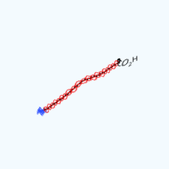 [N-]=[N+]=NCCOCCOCCOCCOCCOCCOCCOCCOCCOCCOCCOCCOCCOCCOCCOCCOCCOCCOCCOCCOCC1(C(=O)O)CCCC1